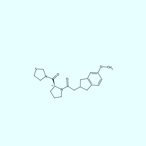 COc1ccc2c(c1)CC(CC(=O)N1CCC[C@H]1C(=O)N1CCSC1)C2